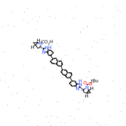 CC(C)(C)OC(=O)N1[C@@H]2C[C@@H]2C[C@H]1c1nc2ccc(-c3ccc4cc(-c5ccc6cc(-c7ccc8[nH]c([C@@H]9C[C@H]%10C[C@H]%10N9C(=O)O)nc8c7)ccc6c5)ccc4c3)cc2[nH]1